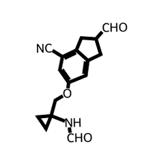 N#Cc1cc(OCC2(NC=O)CC2)cc2c1CC(C=O)C2